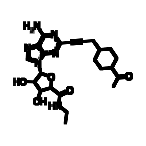 CCNC(=O)C1OC(n2cnc3c(N)nc(C#CCC4CCC(C(C)=O)CC4)nc32)C(O)C1O